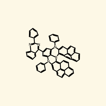 c1ccc(-c2nc(-c3cc4c5c(c3)N(c3ccccc3)c3cc6ccc7cccc8ccc(c3B5c3c(cc5ccc9cccc%10ccc3c5c9%10)N4c3ccccc3)c6c78)c3ccccc3n2)cc1